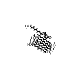 CCCCCCCCCC.CCCCCCCCCC.CCCCCCCCCC.CCCCCCCCCC.CCCCCCCCCC.CCCCCCCCCC.O=C1CCC(=O)O1